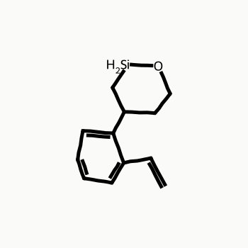 C=Cc1ccccc1C1CCO[SiH2]C1